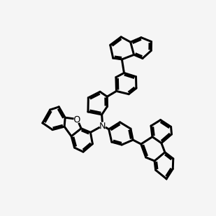 c1cc(-c2cccc(N(c3ccc(-c4cc5ccccc5c5ccccc45)cc3)c3cccc4c3oc3ccccc34)c2)cc(-c2cccc3ccccc23)c1